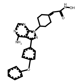 Nc1ncnc2c1c(-c1ccc(Oc3ccccc3)cc1)nn2C1CCC(=CC(=O)NO)CC1